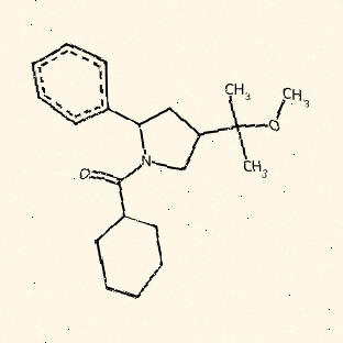 COC(C)(C)C1CC(c2ccccc2)N(C(=O)C2CCCCC2)C1